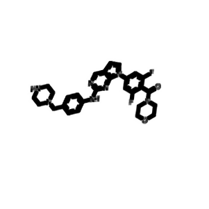 O=C(c1c(F)cc(-n2ccc3cnc(Nc4ccc(CN5CCNCC5)cc4)nc32)cc1F)N1CCOCC1